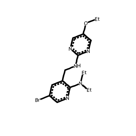 CCOc1cnc(NCc2cc(Br)cnc2N(CC)CC)nc1